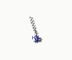 CCCCCCCCCCCCCCCCNc1ccccc1[N+](C)(C)C